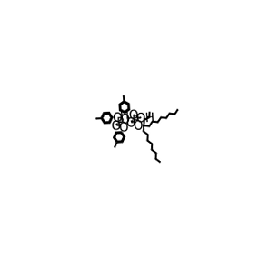 CCCCCCCCC(CCC)(CCCCCCCC)OP(=O)(O)O.Cc1ccc(OP(=O)(Oc2ccc(C)cc2)Oc2ccc(C)cc2)cc1